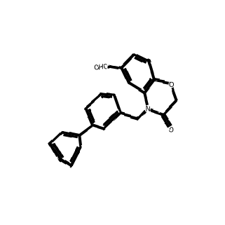 O=Cc1ccc2c(c1)N(Cc1cccc(-c3ccccc3)c1)C(=O)CO2